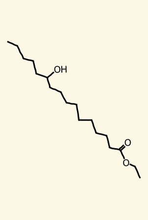 CCCCCC(O)CCCCCCCCCC(=O)OCC